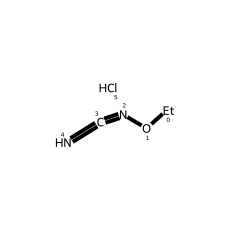 CCON=C=N.Cl